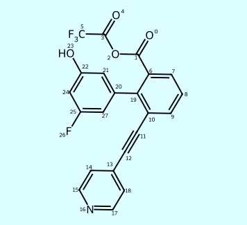 O=C(OC(=O)C(F)(F)F)c1cccc(C#Cc2ccncc2)c1-c1cc(O)cc(F)c1